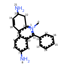 C[n+]1c2c(c3ccc(N)cc3c1-c1ccccc1)C=CC(N)C2